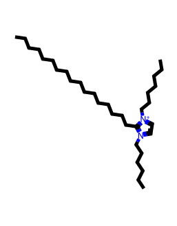 CCCCCCCCCCCCCCCCCc1n(CCCCCC)cc[n+]1CCCCCCC